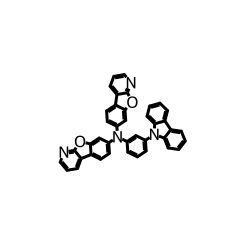 c1cc(N(c2ccc3c(c2)oc2ncccc23)c2ccc3c(c2)oc2ncccc23)cc(-n2c3ccccc3c3ccccc32)c1